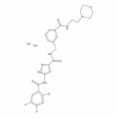 Cl.Cl.O=C(NCCN1CCOCC1)c1cccc(CNC(=O)c2cc(NC(=O)c3cc(F)c(F)cc3Cl)[nH]n2)c1